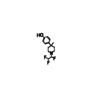 CC1(c2ccc(O)cc2)CCN(C(F)C(F)F)CC1